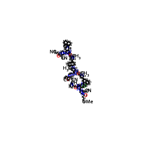 COC/C=C/C(=O)N1CCN(c2nc(OC[C@@H]3CCCN3C)nc3c2CCN(c2cc(C4C[C@@H](COc5nc6c(c(N7CCN(C(=O)/C=C\C#N)[C@@H](CC#N)C7)n5)CCN(c5ccc(C7C[C@@H](COc8nc9c(c(N%10CCN(C(=O)/C=C/C#N)[C@@H](CC#N)C%10)n8)CCN(c8cccc%10cccc(C)c8%10)C9)N(C)C7)c7cccc(C)c57)C6)N(C)C4)cc4cccc(Cl)c24)C3)C[C@@H]1CC#N